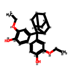 CCOc1cc(C2(c3ccc(O)c(OCC)c3)C3CC4CC(C3)CC2C4)ccc1O